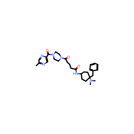 Cc1cnc(C(=O)N2CCN(C(=O)CCCC(=O)NC3CCC(Cc4ccccc4)(N(C)C)CC3)CC2)cn1